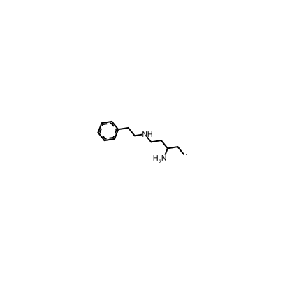 [CH2]CC(N)CCNCCc1ccccc1